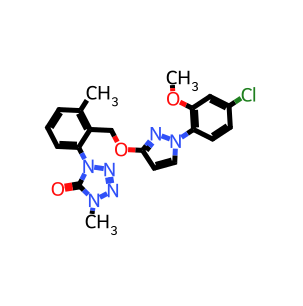 COc1cc(Cl)ccc1-n1ccc(OCc2c(C)cccc2-n2nnn(C)c2=O)n1